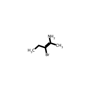 CCC(Br)=C(C)N